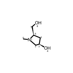 CN1C[C@H](O)C[C@@H]1CO